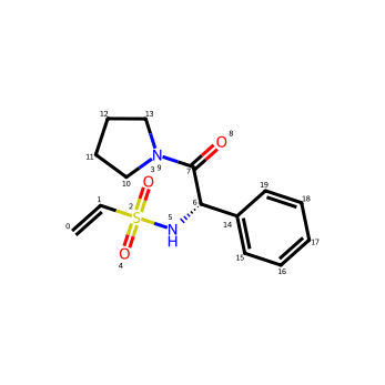 C=CS(=O)(=O)N[C@H](C(=O)N1CCCC1)c1ccccc1